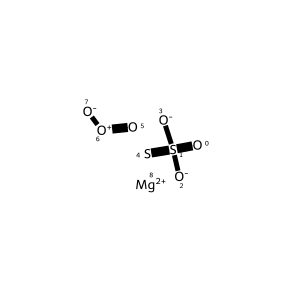 O=S([O-])([O-])=S.O=[O+][O-].[Mg+2]